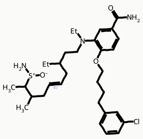 CCC(C/C=C/CC(C)C(C)[S+](N)[O-])CCN(CC)c1cc(C(N)=O)ccc1OCCCCc1cccc(Cl)c1